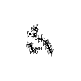 FC(F)(F)OC(F)(OC(F)(F)C(F)(F)F)C(F)(F)OC(F)(F)C(F)(F)OC(F)(F)C(F)(F)C(F)(F)C(F)(F)C(F)(F)C(F)(F)F.O=S(=O)(O)C(F)(F)C(F)(F)C(F)(F)C(F)(F)F